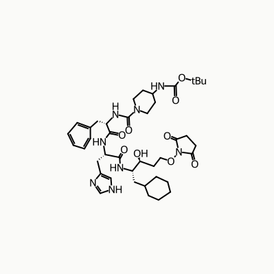 CC(C)(C)OC(=O)NC1CCN(C(=O)N[C@@H](Cc2ccccc2)C(=O)N[C@@H](Cc2c[nH]cn2)C(=O)N[C@@H](CC2CCCCC2)[C@@H](O)CCON2C(=O)CCC2=O)CC1